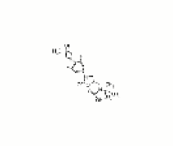 CC1(O)CN(c2c(F)cc(N3C[C@H](CN(C(=O)O)C(C)(C)C)OC3=O)cc2F)C1